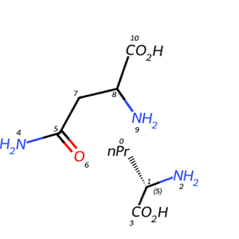 CCC[C@H](N)C(=O)O.NC(=O)CC(N)C(=O)O